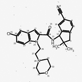 CC1(C)Cc2ccc(C#N)cc2C1NC(=O)c1cc2cc(Cl)ccc2n1CCN1CCOCC1